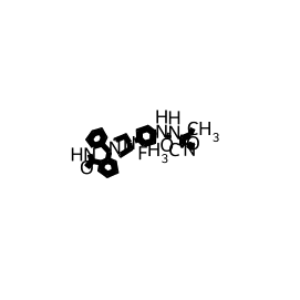 Cc1noc(C)c1NC(=O)Nc1ccc(N2CCN(C3c4ccccc4NC(=O)c4ccccc43)CC2)c(F)c1